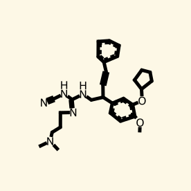 COc1ccc(C(C#Cc2ccccc2)CNC(=NCCCN(C)C)NC#N)cc1OC1CCCC1